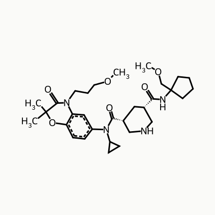 COCCCN1C(=O)C(C)(C)Oc2ccc(N(C(=O)[C@H]3CNC[C@@H](C(=O)NC4(COC)CCCC4)C3)C3CC3)cc21